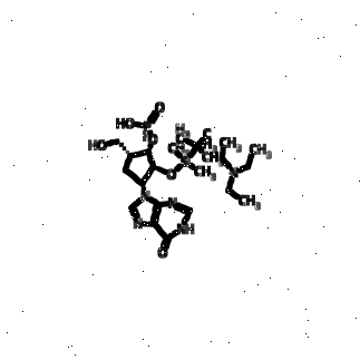 CC(C)(C)[Si](C)(C)O[C@@H]1[C@H](O[PH](=O)O)[C@@H](CO)C[C@H]1n1cnc2c(=O)[nH]cnc21.CCN(CC)CC